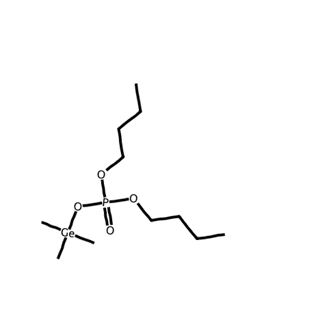 CCCCOP(=O)(OCCCC)[O][Ge]([CH3])([CH3])[CH3]